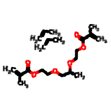 C=C(C)C(=O)OCCOCC(C)OCCOC(=O)C(=C)C.C=CC.C=CC